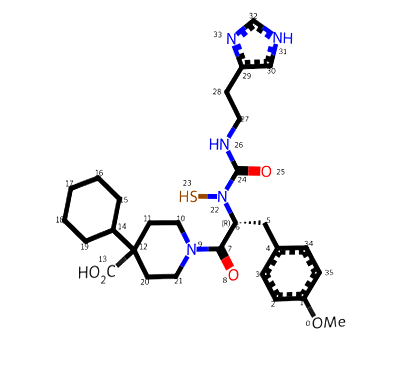 COc1ccc(C[C@H](C(=O)N2CCC(C(=O)O)(C3CCCCC3)CC2)N(S)C(=O)NCCc2c[nH]cn2)cc1